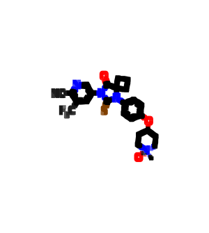 C[N@+]1([O-])CC[C@@H](Oc2ccc(N3C(=S)N(c4cnc(C#N)c(C(F)(F)F)c4)C(=O)C34CCC4)cc2)CC1